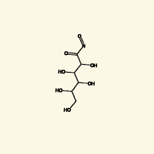 O=NC(=O)C(O)C(O)C(O)C(O)CO